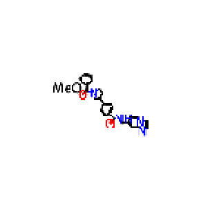 COc1ccccc1C(=O)N1CCC(c2ccc(C(=O)NCc3ccn4ccnc4c3)cc2)C1